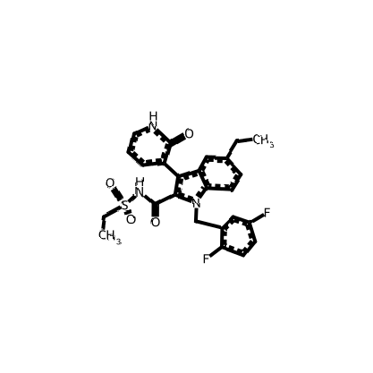 CCc1ccc2c(c1)c(-c1ccc[nH]c1=O)c(C(=O)NS(=O)(=O)CC)n2Cc1cc(F)ccc1F